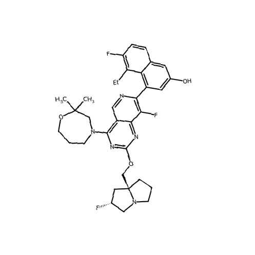 CCc1c(F)ccc2cc(O)cc(-c3ncc4c(N5CCCOC(C)(C)C5)nc(OC[C@@]56CCCN5C[C@H](F)C6)nc4c3F)c12